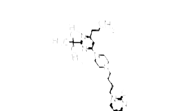 CCCc1cc(N2CCN(CCCCn3ccc(O)nc3=O)CC2)nc(C(C)(C)C)n1